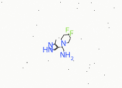 Cc1n[nH]cc1C(CN)N1CCC(F)(F)CC1